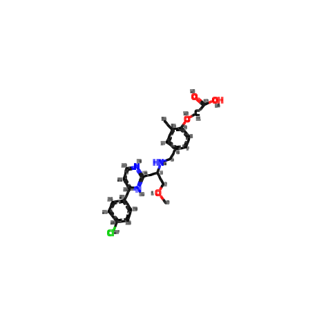 COCC(NCc1ccc(OCC(=O)O)c(C)c1)c1nccc(-c2ccc(Cl)cc2)n1